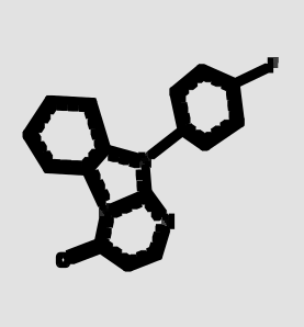 O=c1ccnc2n(-c3ccc(F)cc3)c3ccccc3n12